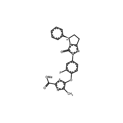 COC(=O)c1nc(C)c(Oc2ccc(-n3nc4n(c3=O)[C@@H](c3ccccc3)CC4)cc2F)s1